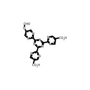 O=COc1cnc(-c2nc(-c3ncc(C(=O)O)cn3)nc(-c3ncc(C(=O)O)cn3)n2)nc1